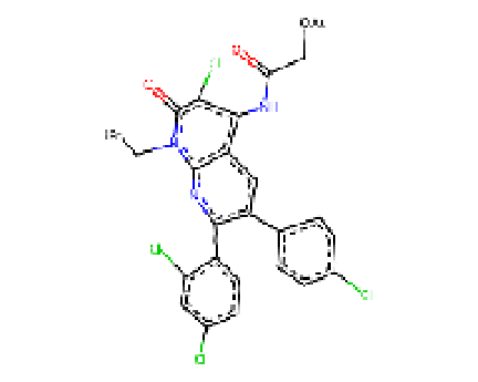 CC(=O)OCC(=O)Nc1c(Cl)c(=O)n(CC(C)C)c2nc(-c3ccc(Cl)cc3Cl)c(-c3ccc(Cl)cc3)cc12